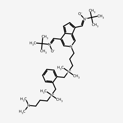 CN(C)CCC[N+](C)(C)Cc1ccccc1C[N+](C)(C)CCCn1cc(/C=[N+](\[O-])C(C)(C)C)c2ccc(/C=[N+](\[O-])C(C)(C)C)c-2c1